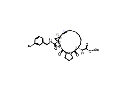 CC(=O)c1cccc(CNC(=O)[C@@]23C[C@H]2/C=C\CCCCC[C@H](NC(=O)OC(C)(C)C)C(=O)N2CCCC2C(=O)N3)c1